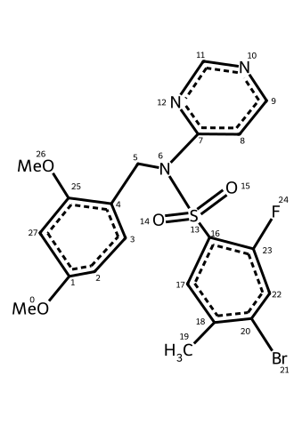 COc1ccc(CN(c2ccncn2)S(=O)(=O)c2cc(C)c(Br)cc2F)c(OC)c1